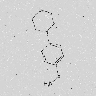 NSc1ccc(N2CCOCC2)cc1